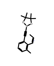 C/C=C\c1c(C)cccc1C#CN1OC(C)(C)C(C)(C)O1